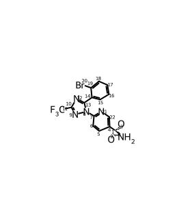 NS(=O)(=O)c1ccc(-n2nc(C(F)(F)F)nc2-c2ccccc2Br)nc1